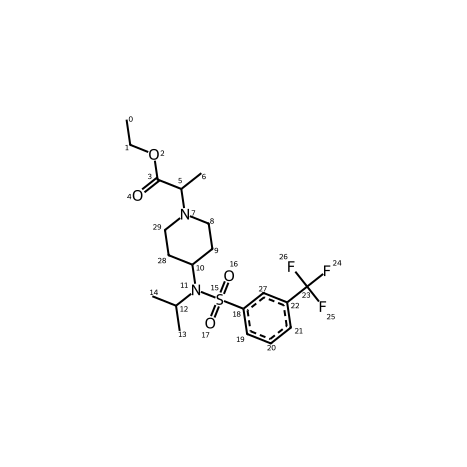 CCOC(=O)C(C)N1CCC(N(C(C)C)S(=O)(=O)c2cccc(C(F)(F)F)c2)CC1